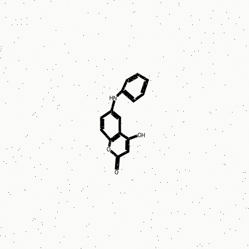 O=c1cc(O)c2cc(Nc3ccccc3)ccc2o1